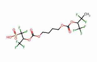 CC(F)(F)C(OC(=O)OCCCCOC(=O)OC(C(F)(F)F)C(F)(F)S(=O)(=O)O)C(F)(F)F